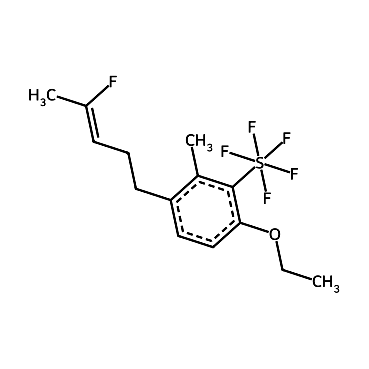 CCOc1ccc(CC/C=C(/C)F)c(C)c1S(F)(F)(F)(F)F